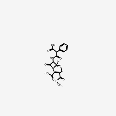 COC(=O)C1=C(C(=O)O)N2C(=O)C(NC(=O)C(C(=O)O)c3ccccc3)[C@@H]2SC1